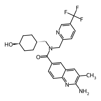 Cc1cc2cc(C(=O)N(Cc3ccc(C(F)(F)F)cn3)C[C@H]3CC[C@H](O)CC3)ccc2nc1N